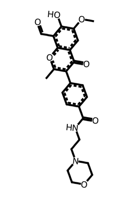 COc1cc2c(=O)c(-c3ccc(C(=O)NCCN4CCOCC4)cc3)c(C)oc2c(C=O)c1O